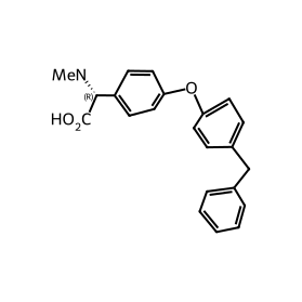 CN[C@@H](C(=O)O)c1ccc(Oc2ccc(Cc3ccccc3)cc2)cc1